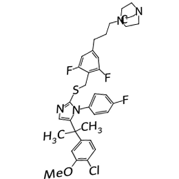 COc1cc(C(C)(C)c2cnc(SCc3c(F)cc(CCC[N+]45CCN(CC4)CC5)cc3F)n2-c2ccc(F)cc2)ccc1Cl